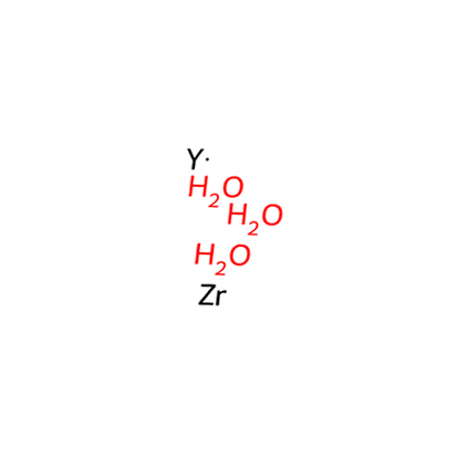 O.O.O.[Y].[Zr]